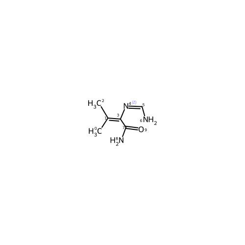 CC(C)=C(/N=C\N)C(N)=O